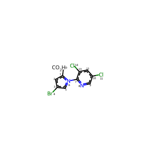 O=C(O)c1cc(Br)cn1-c1ncc(Cl)cc1Cl